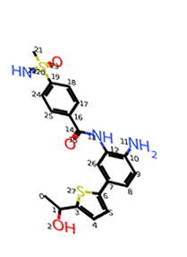 CC(O)c1ccc(-c2ccc(N)c(NC(=O)c3ccc(S(C)(=N)=O)cc3)c2)s1